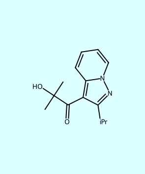 CC(C)c1nn2ccccc2c1C(=O)C(C)(C)O